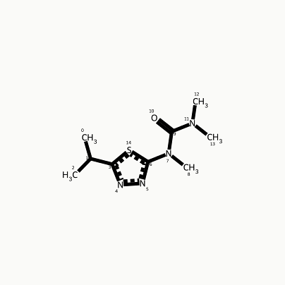 CC(C)c1nnc(N(C)C(=O)N(C)C)s1